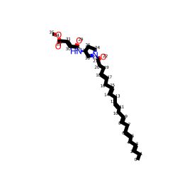 CCC=CCC=CCC=CCC=CCC=CCC=CCCC(=O)N1CC[C@H](NC(=O)C=CC(=O)OC)C1